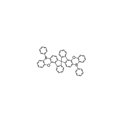 c1ccc(B2c3ccccc3Oc3c2ccc2c3-c3ccccc3C23c2ccccc2-c2c3ccc3c2Oc2ccccc2B3c2ccccc2)cc1